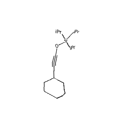 CC(C)[Si](OC#CC1CCCCC1)(C(C)C)C(C)C